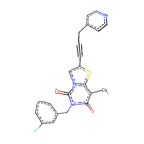 Cc1c(=O)n(Cc2cccc(F)c2)c(=O)n2cc(C#CCc3ccncc3)sc12